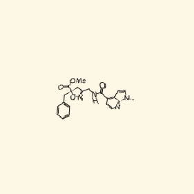 COC(=O)C1(Cc2ccccc2)CC(CNC(=O)c2ccnc3c2ccn3C)=NO1